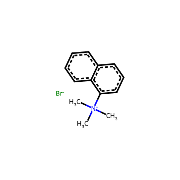 C[N+](C)(C)c1cccc2ccccc12.[Br-]